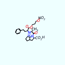 CC(NC(CCc1ccccc1)C(=O)OCCCO[N+](=O)[O-])C(=O)N1C(C(=O)O)CC2CCCC21